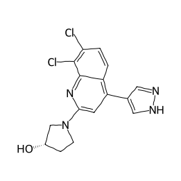 O[C@H]1CCN(c2cc(-c3cn[nH]c3)c3ccc(Cl)c(Cl)c3n2)C1